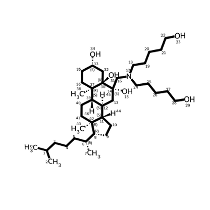 CC(C)CCC[C@@H](C)[C@H]1CC[C@H]2[C@@H]3C[C@](O)(CN(CCCCCO)CCCCCO)[C@@]4(O)C[C@@H](O)CC[C@]4(C)[C@H]3CC[C@]12C